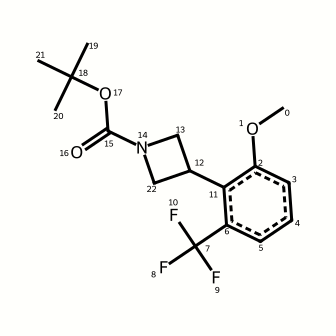 COc1cccc(C(F)(F)F)c1C1CN(C(=O)OC(C)(C)C)C1